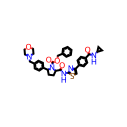 O=C(NC1CC1)c1ccc(-c2csc(NC(=O)C3CCC(c4ccc(CN5CCOCC5)cc4)N3C(=O)OCc3ccccc3)n2)cc1